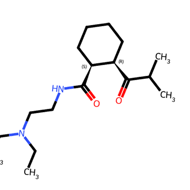 CCN(CC)CCNC(=O)[C@H]1CCCC[C@H]1C(=O)C(C)C